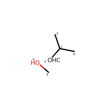 CC(C)C=O.CO